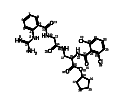 N=C(N)Nc1ccccc1C(=O)NCC(=O)NCC(NC(=O)c1c(Cl)cccc1Cl)C(=O)OC1CCCC1